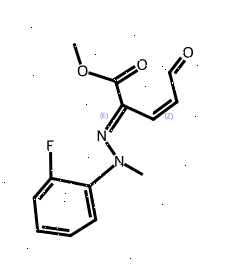 COC(=O)C(/C=C\C=O)=N/N(C)c1ccccc1F